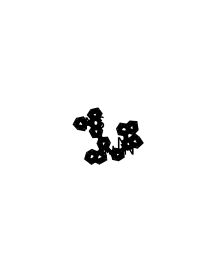 c1ccc(N2c3ccccc3Sc3cc(-c4ccc5c(c4)c4c6ccccc6ccc4n5-c4cccc(-c5nc(-c6cccc7ccccc67)c6ccccc6n5)c4)ccc32)cc1